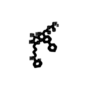 CC[C@H](NC(=O)CCCCNc1ccccn1)C(=O)NC(CC(=O)OC(=O)C(F)(F)F)c1ccc(-c2ccccc2)cc1